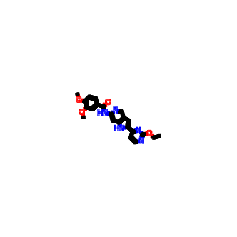 CCOc1nccc(-c2cc3cnc(NC(=O)c4ccc(OC)c(OC)c4)cc3[nH]2)n1